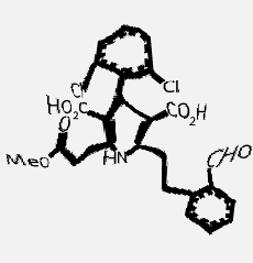 COC(=O)CC1=C(C(=O)O)C(c2c(Cl)cccc2Cl)C(C(=O)O)=C(CCc2ccccc2C=O)N1